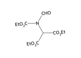 CCOC(=O)C(C(=O)OCC)N(C=O)C(=O)OCC